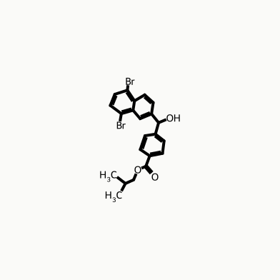 CC(C)COC(=O)c1ccc(C(O)c2ccc3c(Br)ccc(Br)c3c2)cc1